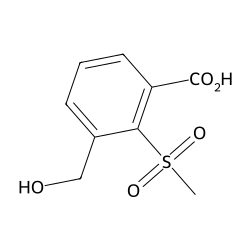 CS(=O)(=O)c1c(CO)cccc1C(=O)O